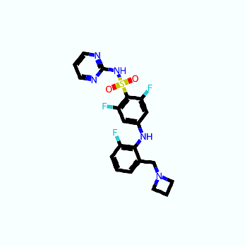 O=S(=O)(Nc1ncccn1)c1c(F)cc(Nc2c(F)cccc2CN2CCC2)cc1F